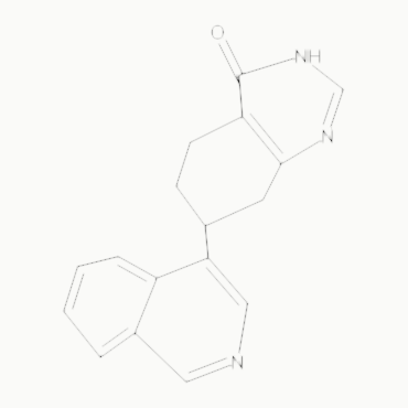 O=c1[nH]cnc2c1CCC(c1cncc3ccccc13)C2